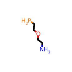 NCCOCCP